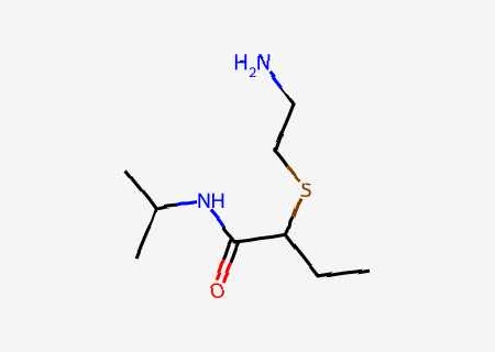 CCC(SCCN)C(=O)NC(C)C